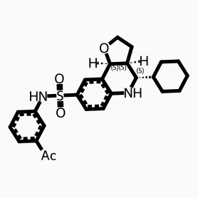 CC(=O)c1cccc(NS(=O)(=O)c2ccc3c(c2)[C@H]2OCC[C@H]2[C@H](C2CCCCC2)N3)c1